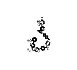 Cc1cn(C2CC3(CC(CN4CCN(C(=O)c5ccc([C@@H]6CN(c7cc(-c8ccccc8O)nnc7N)[C@H](C)CO6)cc5)CC4)C3)C2)c2ncc(N3CCC(=O)NC3=O)cc12